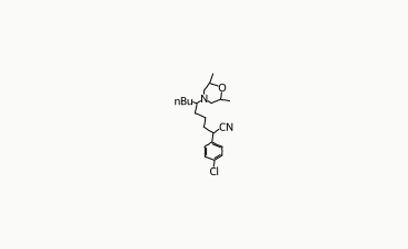 CCCCC(CCCC(C#N)c1ccc(Cl)cc1)N1CC(C)OC(C)C1